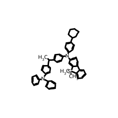 CC(c1ccc(N(c2ccccc2)c2ccccc2)cc1)c1ccc(N(c2ccc(C3CCCCC3)cc2)c2ccc3c(c2)[Si](C)(C)c2ccccc2-3)cc1